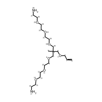 C=CCOCC(C)(COCCOCCOCCN)COCCOCCOCCN